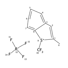 Cc1cc2ccccc2[s+]1C(F)(F)F.F[B-](F)(F)F